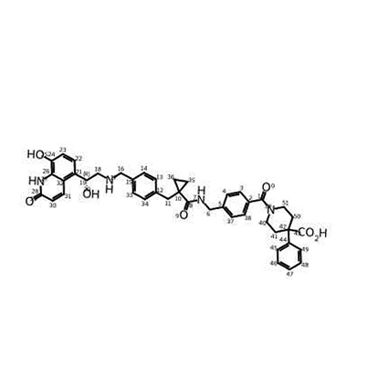 O=C(c1ccc(CNC(=O)C2(Cc3ccc(CNC[C@H](O)c4ccc(O)c5[nH]c(=O)ccc45)cc3)CC2)cc1)N1CCC(C(=O)O)(c2ccccc2)CC1